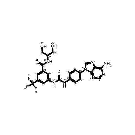 Nc1ncnc2c1ncn2-c1ccc(NC(=O)Nc2cc(C(=O)NC(CO)CO)cc(C(F)(F)F)c2)cc1